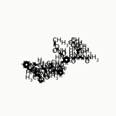 C#CCOC(=O)NCC(=O)Nc1cc(NC(=O)[C@H](CCCNC(N)=O)NC(=O)[C@@H](NC(=O)OC(C)(C)C)C(C)C)ccc1COC(=O)N1[C@@H]2CC[C@@H](C2)[C@H]1C(=O)N[C@H](C(=O)N(C)[C@@H]([C@@H](C)CC)[C@@H](CC(=O)N1CCC[C@H]1[C@H](OC)[C@@H](C)C(=O)N[C@@H](Cc1ccccc1)c1nccs1)OC)C(C)C